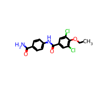 CCOc1c(Cl)cc(C(=O)Nc2ccc(C(N)=O)cc2)cc1Cl